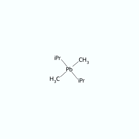 C[CH](C)[Pb]([CH3])([CH3])[CH](C)C